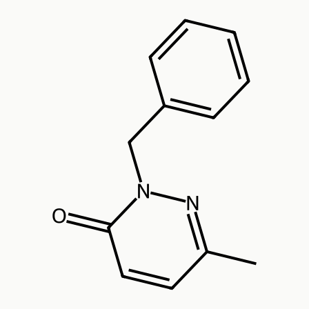 Cc1ccc(=O)n(Cc2ccccc2)n1